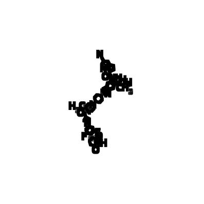 C[C@@H]1CN(C2CCC(n3cc4cc(NC(=O)c5ccc6cc(C#N)cnn56)c(C(C)(C)O)cc4n3)CC2)CCN1C(=O)C1CN(c2cc(F)c([C@H]3CCC(=O)NC3=O)c(F)c2)C1